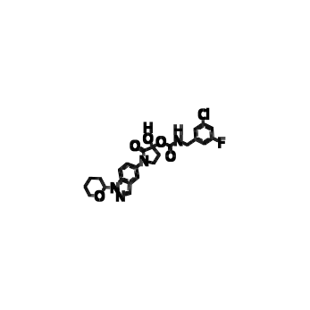 O=C(NCc1cc(F)cc(Cl)c1)OC1(O)CCN(c2ccc3c(cnn3C3CCCCO3)c2)C1=O